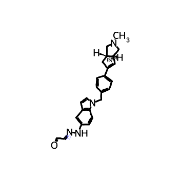 CN1C[C@H]2CC(c3ccc(Cn4ccc5cc(N/N=C/C=O)ccc54)cc3)=C[C@H]2C1